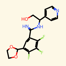 N=C(NC(CO)c1ccncc1)c1cc(C2OCCO2)c(F)c(F)c1F